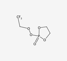 O=P1(OOCC(F)(F)F)OCCO1